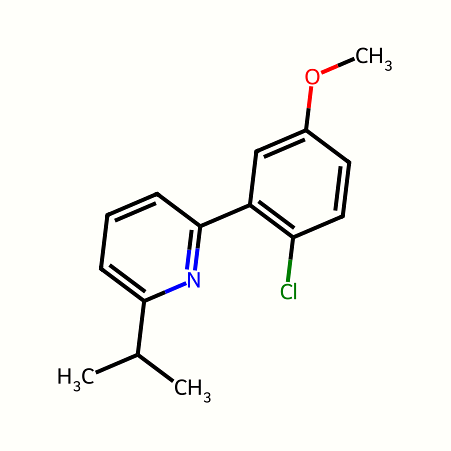 COc1ccc(Cl)c(-c2cccc(C(C)C)n2)c1